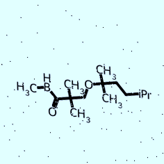 CBC(=O)C(C)(C)COC(C)(C)CCC(C)C